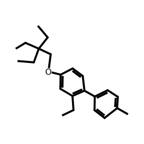 CCc1cc(OCC(CC)(CC)CC)ccc1-c1ccc(C)cc1